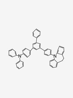 c1ccc(-c2cc(-c3ccc(N(c4ccccc4)c4ccccc4)cc3)cc(-c3ccc(N4c5ccccc5CCc5ccccc54)cc3)c2)cc1